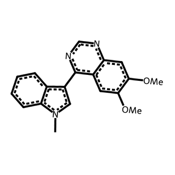 COc1cc2ncnc(-c3cn(C)c4ccccc34)c2cc1OC